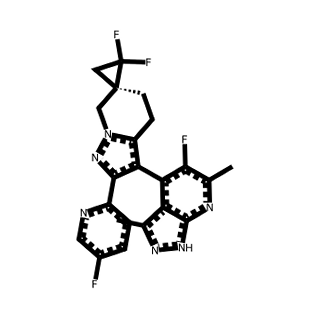 Cc1nc2[nH]nc(C)c2c(-c2c(-c3ccc(F)cn3)nn3c2CC[C@]2(C3)CC2(F)F)c1F